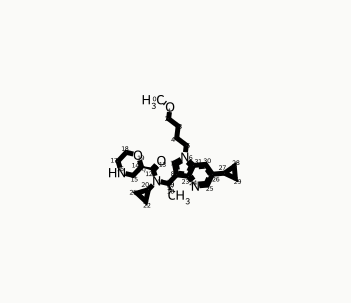 COCCCCn1cc([C@@H](C)N(C(=O)[C@H]2CNCCO2)C2CC2)c2ncc(C3CC3)cc21